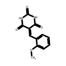 COc1ccccc1C=C1C(=O)NC(=O)NC1=O